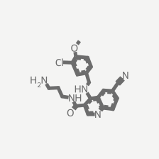 COc1ccc(CNc2c(C(=O)NCCCN)cnc3ccc(C#N)cc23)cc1Cl